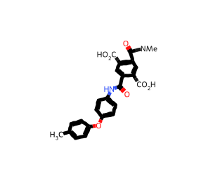 CNC(=O)c1cc(C(=O)O)c(C(=O)Nc2ccc(Oc3ccc(C)cc3)cc2)cc1C(=O)O